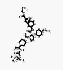 CCOC(=O)c1cc2cc(NC(=O)[C@@H]3[C@H](C4CCC(OC)CC4)CCN3C(=O)[C@H]3CC[C@@H]([C@H](CF)NC(=O)OC(C)(C)C)CC3)ccc2[nH]1